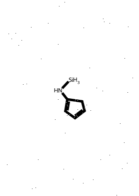 [SiH3]NC1=CC=CC1